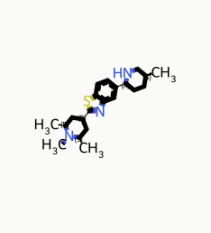 C[C@H]1CC[C@H](c2ccc3sc([C@H]4C[C@@H](C)N(C)[C@@H](C)C4)nc3c2)NC1